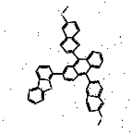 COc1ccc2cc(-c3c4ccccc4c(-c4ccc5cc(OC)ccc5c4)c4cc(-c5cccc6c5sc5ccccc56)ccc34)ccc2c1